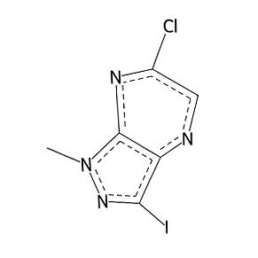 Cn1nc(I)c2ncc(Cl)nc21